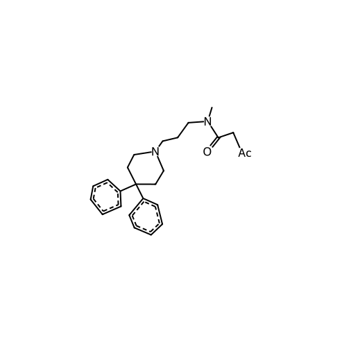 CC(=O)CC(=O)N(C)CCCN1CCC(c2ccccc2)(c2ccccc2)CC1